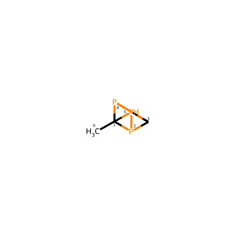 CC12P3C4P1[PH]432